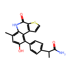 Cc1cc(O)c(-c2ccc(C(C)C(N)=O)cc2)c2c1[nH]c(=O)c1sccc12